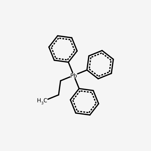 CC[CH2][Pb]([c]1ccccc1)([c]1ccccc1)[c]1ccccc1